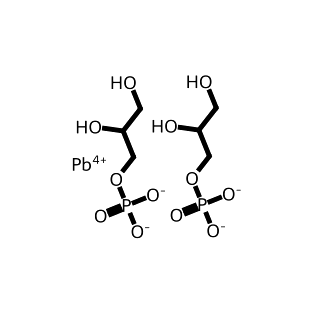 O=P([O-])([O-])OCC(O)CO.O=P([O-])([O-])OCC(O)CO.[Pb+4]